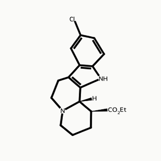 CCOC(=O)[C@H]1CCCN2CCc3c([nH]c4ccc(Cl)cc34)[C@H]12